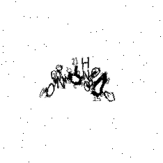 COc1nn(-c2ccc(NS(=O)(=O)c3ccc(Cl)cc3)c(C)c2)c(=O)o1